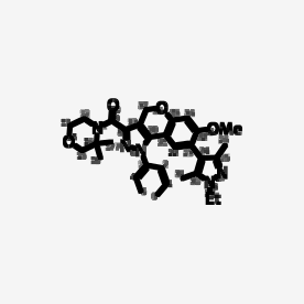 C/C=C\C(=C/C)n1nc(C(=O)N2CCOCC2(C)C)c2c1-c1cc(-c3c(C)nn(CC)c3C)c(OC)cc1OC2